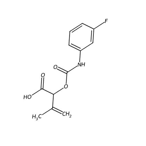 C=C(C)C(OC(=O)Nc1cccc(F)c1)C(=O)O